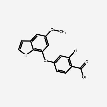 COc1cc(Oc2ccc(C(=O)O)c(Cl)c2)c2occc2c1